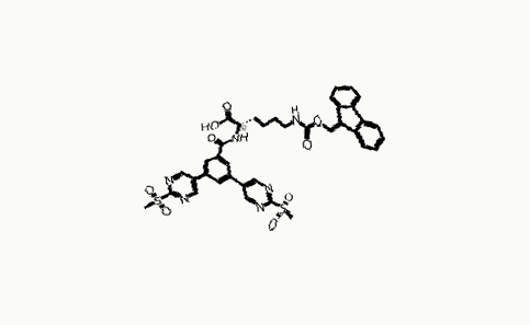 CS(=O)(=O)c1ncc(-c2cc(C(=O)N[C@@H](CCCCNC(=O)OCC3c4ccccc4-c4ccccc43)C(=O)O)cc(-c3cnc(S(C)(=O)=O)nc3)c2)cn1